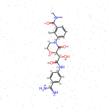 Cc1c(C(=O)N(C)C)cccc1N1CCO[C@H]([C@@H](O)C(=O)Nc2ccc(C(=N)N)cc2)C1=O